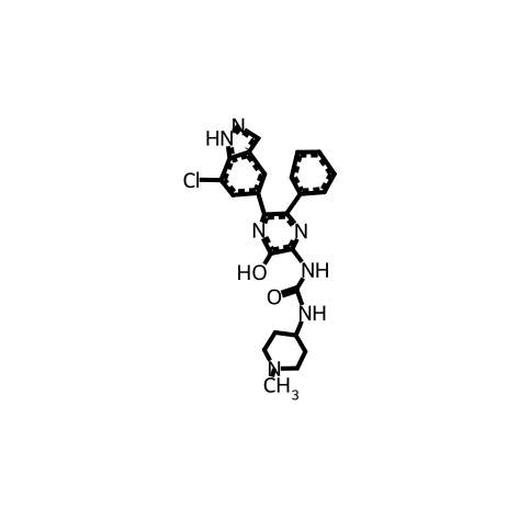 CN1CCC(NC(=O)Nc2nc(-c3ccccc3)c(-c3cc(Cl)c4[nH]ncc4c3)nc2O)CC1